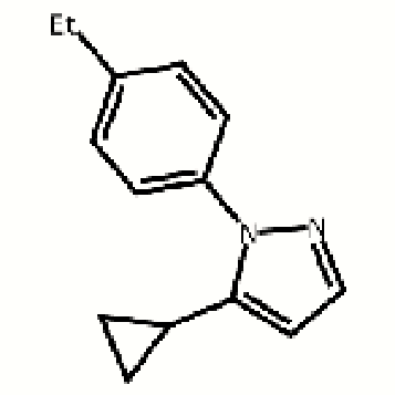 CCc1ccc(-n2nccc2C2CC2)cc1